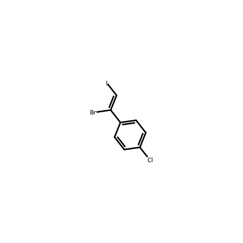 Clc1ccc(C(Br)=CI)cc1